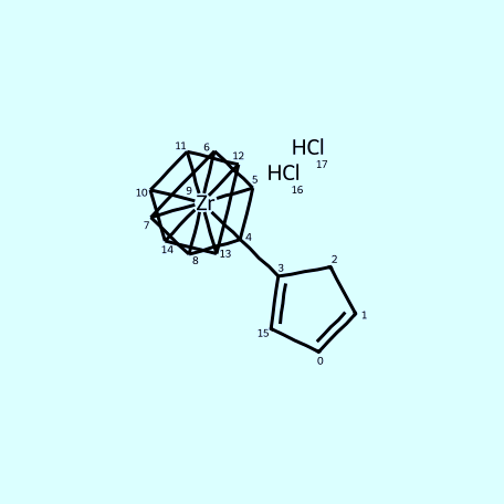 C1=CCC([C]23[CH]4[CH]5[CH]6[CH]2[Zr]56432789[CH]3[CH]2[CH]7[CH]8[CH]39)=C1.Cl.Cl